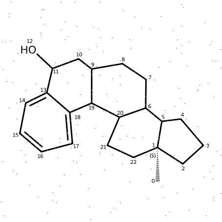 C[C@@]12CCCC1C1CCC3CC(O)c4ccccc4C3C1CC2